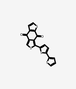 O=C1c2ccsc2C(=O)c2c1csc2-c1ccc(-c2cccs2)s1